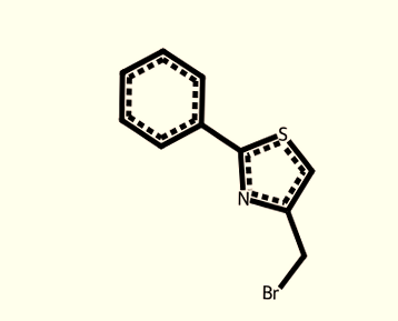 BrCc1csc(-c2ccccc2)n1